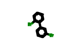 Brc1cccc(-c2c[c]ccc2Br)c1